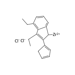 CCC1=C(C2=CC=CC2)[CH]([Zr+2])c2cccc(CC)c21.[Cl-].[Cl-]